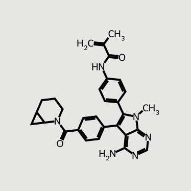 C=C(C)C(=O)Nc1ccc(-c2c(-c3ccc(C(=O)N4CCCC5CC54)cc3)c3c(N)ncnc3n2C)cc1